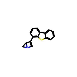 C1=C(c2cccc3c2sc2ccccc23)C2CN12